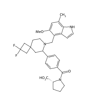 COc1cc(C)c2[nH]ccc2c1CN1CCC2(CC1c1ccc(C(=O)N3CCC[C@@H]3C(=O)O)cc1)CC(F)(F)C2